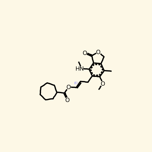 CNc1c(C/C=C/OC(=O)C2CCCCCC2)c(OC)c(C)c2c1C(=O)OC2